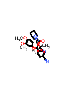 COc1ccc(OC(CCCN2C3CCC2CN(C(=O)OC(C)(C)C#N)C3)c2ccc(C#N)cc2)cc1OC